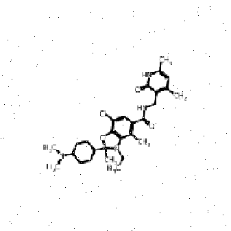 CCN1c2c(C)c(C(=O)NCc3c(C)cc(C)[nH]c3=O)cc(Cl)c2OC1(C)C1CCC(N(C)C)CC1